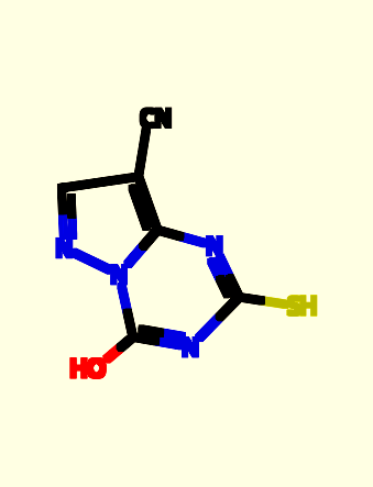 N#Cc1cnn2c(O)nc(S)nc12